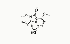 COc1ccc(Cl)c2c1C(=O)N1CCNC[C@H]21.Cl